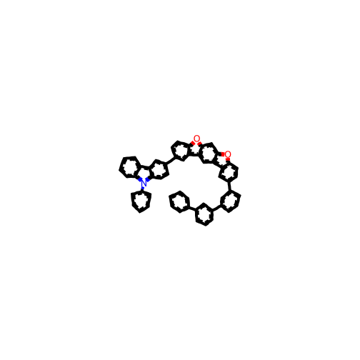 c1ccc(-c2cccc(-c3cccc(-c4ccc5oc6cc7oc8ccc(-c9ccc%10c(c9)c9ccccc9n%10-c9ccccc9)cc8c7cc6c5c4)c3)c2)cc1